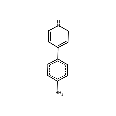 Bc1ccc(C2=CCNC=C2)cc1